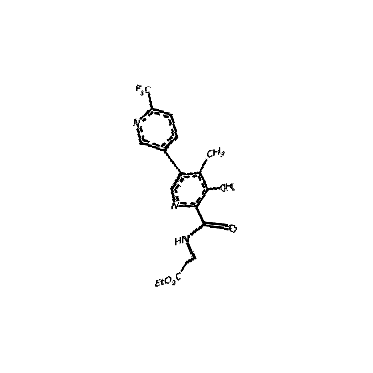 CCOC(=O)CNC(=O)c1ncc(-c2ccc(C(F)(F)F)nc2)c(C)c1O